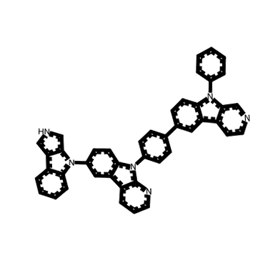 c1ccc(-n2c3ccc(-c4ccc(-n5c6ccc(-n7c8ccccc8c8c[nH]cc87)cc6c6cccnc65)cc4)cc3c3ccncc32)cc1